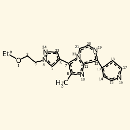 CCOCCn1cc(-c2c(C)nc3c(-c4ccncc4)nccn23)cn1